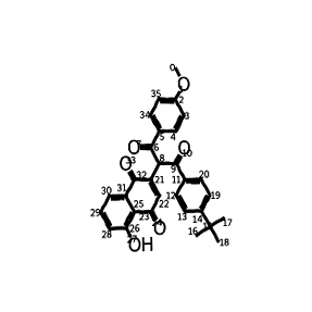 COc1ccc(C(=O)C(C(=O)c2ccc(C(C)(C)C)cc2)C2=CC(=O)c3c(O)cccc3C2=O)cc1